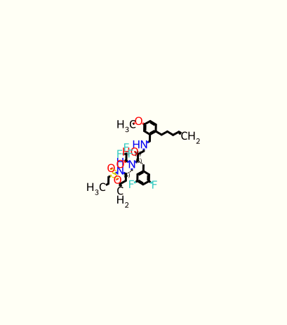 C=CCCCc1ccc(OC)cc1CNC[C@H](O)[C@H](Cc1cc(F)cc(F)c1)N(C[C@H](CC=C)NS(=O)(=O)CCC)C(=O)C(F)(F)F